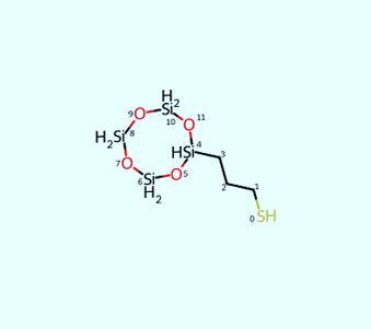 SCCC[SiH]1O[SiH2]O[SiH2]O[SiH2]O1